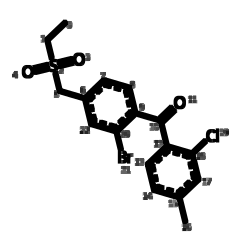 CCS(=O)(=O)Cc1ccc(C(=O)c2ccc(C)cc2Cl)c(Br)c1